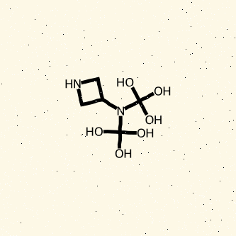 OC(O)(O)N(C1CNC1)C(O)(O)O